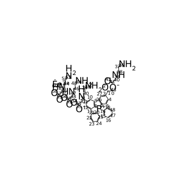 CC(=O)c1ccc([P+](c2ccccc2)(c2ccccc2)c2ccccc2)cc1.NCCNCC(=O)[O-].NCCNCC(=O)[O-].NCCNCC(=O)[O-].NCCNCC(=O)[O-].[Fe+3]